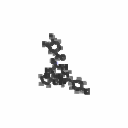 CC1(CN/C(=N/C(=O)c2ccc(F)c(F)c2)Nc2cc(-c3ccc(Cl)cc3)n[nH]2)CCCO1